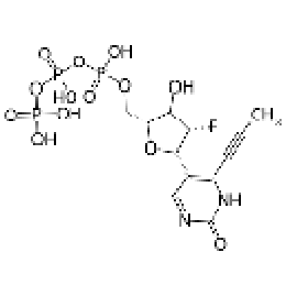 CC#Cc1[nH]c(=O)ncc1[C@@H]1O[C@H](COP(=O)(O)OP(=O)(O)OP(=O)(O)O)C(O)[C@@H]1F